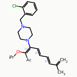 C=C(C)/C=C/C=C/C(=C(/OC(C)C)C(C)=O)N1CCN(Cc2ccccc2Cl)CC1